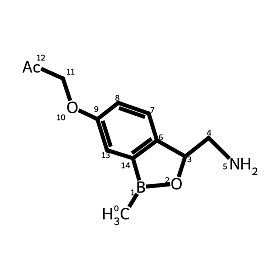 CB1OC(CN)c2ccc(OCC(C)=O)cc21